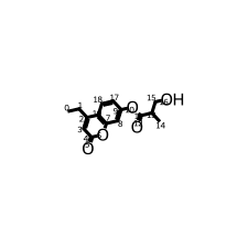 CCc1cc(=O)oc2cc(OC(=O)C(C)CO)ccc12